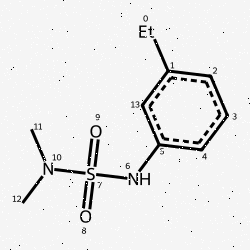 CCc1cccc(NS(=O)(=O)N(C)C)c1